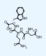 NC(=O)CC[C@H](NC(=O)[C@@H](N)CC(=O)O)C(=O)N[C@@H](Cc1c[nH]c2ccccc12)C(=O)O